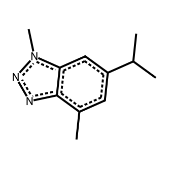 Cc1cc(C(C)C)cc2c1nnn2C